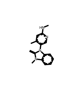 C=C1N(C)c2ccccc2N1c1cnc(NC)cc1C